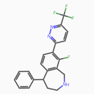 Fc1c(-c2ccc(C(F)(F)F)nn2)ccc2c1CNCCC2c1ccccc1